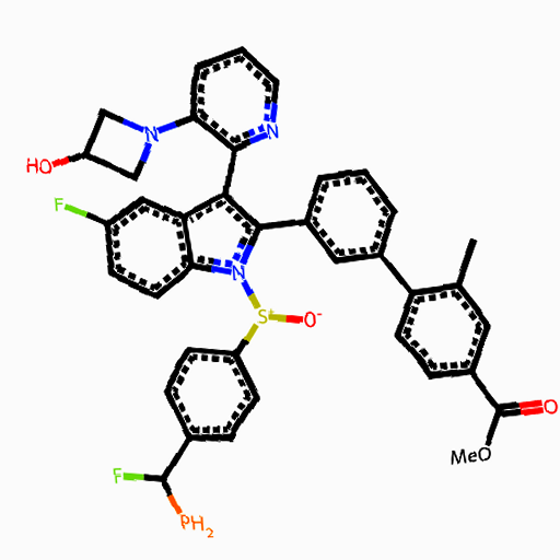 COC(=O)c1ccc(-c2cccc(-c3c(-c4ncccc4N4CC(O)C4)c4cc(F)ccc4n3[S+]([O-])c3ccc(C(F)P)cc3)c2)c(C)c1